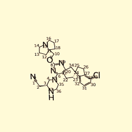 N#CC[C@H]1CN(c2nc(OCC34CCCN3CCC4)nc3c2CC[C@@]2(CCc4c(Cl)cccc42)C3)CCN1